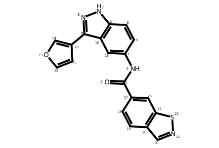 O=C(Nc1ccc2[nH]nc(-c3ccoc3)c2c1)c1ccc2cnsc2c1